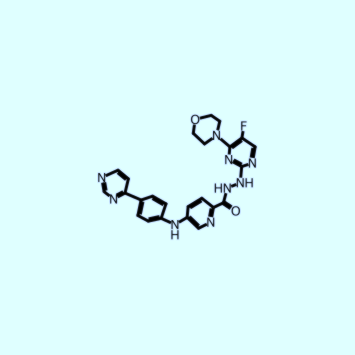 O=C(NNc1ncc(F)c(N2CCOCC2)n1)c1ccc(Nc2ccc(-c3ccncn3)cc2)cn1